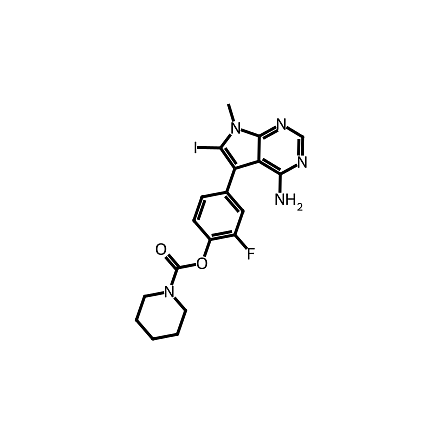 Cn1c(I)c(-c2ccc(OC(=O)N3CCCCC3)c(F)c2)c2c(N)ncnc21